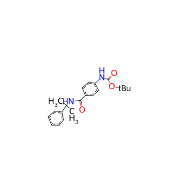 CC(C)(C)OC(=O)Nc1ccc(C(=O)NC(C)(C)c2ccccc2)cc1